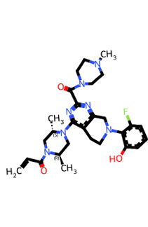 C=CC(=O)N1C[C@H](C)N(c2nc(C(=O)N3CCN(C)CC3)nc3c2CCN(c2c(O)cccc2F)C3)C[C@H]1C